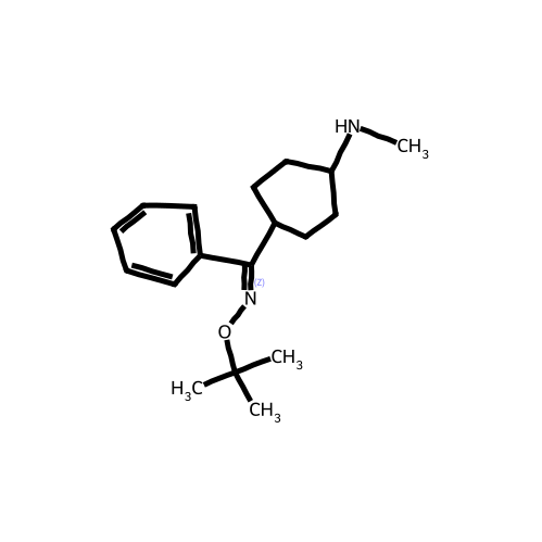 CNC1CCC(/C(=N/OC(C)(C)C)c2ccccc2)CC1